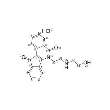 Cl.O=C1c2ccccc2-c2c1c1ccccc1c(=O)n2CCNCCO